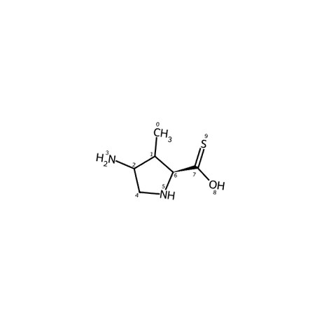 CC1C(N)CN[C@@H]1C(O)=S